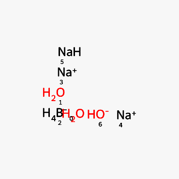 O.O.[BH4-].[Na+].[Na+].[NaH].[OH-]